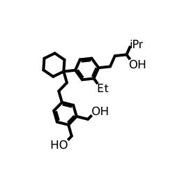 CCc1cc(C2(CCc3ccc(CO)c(CO)c3)CCCCC2)ccc1CCC(O)C(C)C